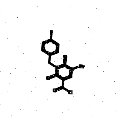 CC(C)n1cc(C(=O)Cl)c(=O)n(Cc2ccc(F)cc2)c1=O